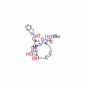 CC(C)(C)OC(=O)N[C@H]1CCCCCCCCC[C@H](B(O)O)NC(=O)[C@@H]2C[C@@H](OC(=O)N3Cc4ccccc4C3)CN2C1=O